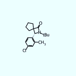 Cc1cc(Cl)ccc1[C@H]1N(C(C)(C)C)C(=O)C12CCCC2